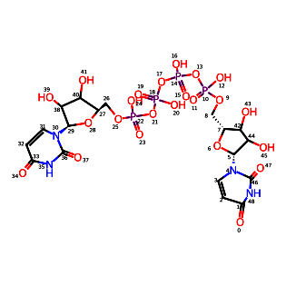 O=c1ccn([C@@H]2O[C@H](COP(=O)(O)OP(=O)(O)OP(=O)(O)OP(=O)(O)OC[C@H]3O[C@@H](n4ccc(=O)[nH]c4=O)C(O)C3O)C(O)C2O)c(=O)[nH]1